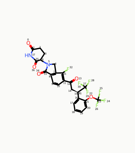 O=C1CCC(N2Cc3c(ccc(C(=O)C[C@H](c4ccccc4OC(F)(F)F)C(F)(F)F)c3F)C2=O)C(=O)N1